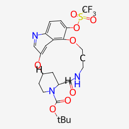 CC(C)(C)OC(=O)N1CC[C@H]2C[C@H]1C(=O)NCCCOc1c(OS(=O)(=O)C(F)(F)F)ccc3ncc(cc13)O2